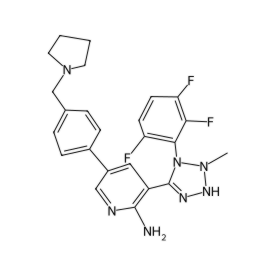 CN1NN=C(c2cc(-c3ccc(CN4CCCC4)cc3)cnc2N)N1c1c(F)ccc(F)c1F